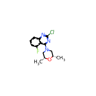 C[C@@H]1CN(c2nc(Cl)nc3cccc(F)c23)C[C@H](C)O1